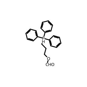 O=COCCC[PH](c1ccccc1)(c1ccccc1)c1ccccc1